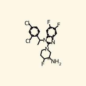 CC(c1ccc(Cl)cc1Cl)n1c(N2CCC(F)[C@H](N)C2)nc2cc(F)c(F)cc21